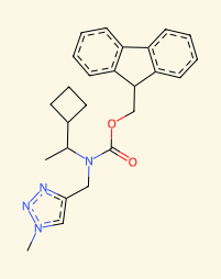 CC(C1CCC1)N(Cc1cn(C)nn1)C(=O)OCC1c2ccccc2-c2ccccc21